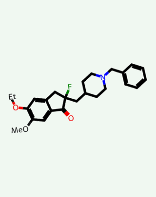 CCOc1cc2c(cc1OC)C(=O)C(F)(CC1CCN(Cc3ccccc3)CC1)C2